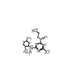 CCN(CCO)c1nc(Cl)nc(Nc2cc(C)ccc2S(=O)(=O)O)n1